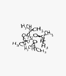 C[SiH](C)O[Si](O[SiH](C)C)(O[SiH](C)C)O[SiH](C)C